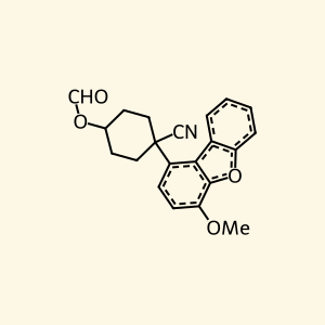 COc1ccc(C2(C#N)CCC(OC=O)CC2)c2c1oc1ccccc12